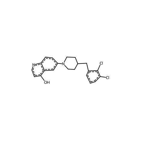 Oc1ccnc2ccc(N3CCC(Cc4cccc(Cl)c4Cl)CC3)cc12